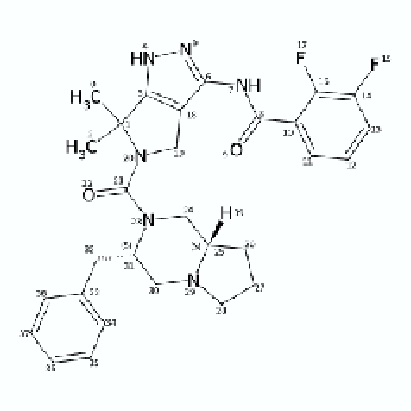 CC1(C)c2[nH]nc(NC(=O)c3cccc(F)c3F)c2CN1C(=O)N1C[C@@H]2CCCN2C[C@@H]1Cc1ccccc1